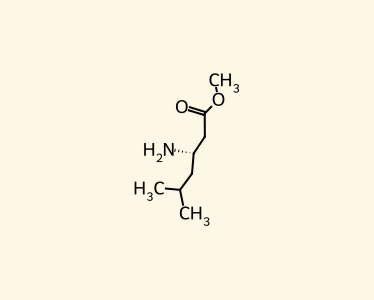 COC(=O)C[C@@H](N)CC(C)C